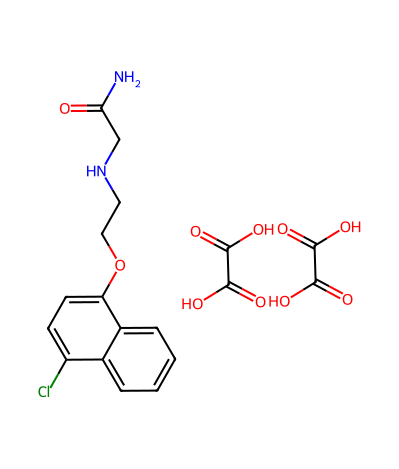 NC(=O)CNCCOc1ccc(Cl)c2ccccc12.O=C(O)C(=O)O.O=C(O)C(=O)O